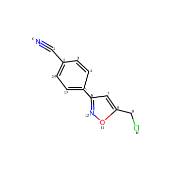 N#Cc1ccc(-c2cc(CCl)on2)cc1